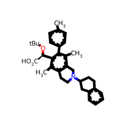 Cc1ccc(-c2c(C)c3c(c(C)c2[C@H](OC(C)(C)C)C(=O)O)CCN(C2CCc4ccccc4C2)C3)cc1